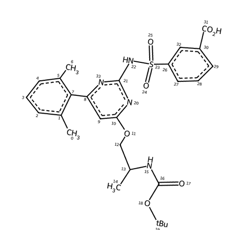 Cc1cccc(C)c1-c1cc(OCC(C)NC(=O)OC(C)(C)C)nc(NS(=O)(=O)c2cccc(C(=O)O)c2)n1